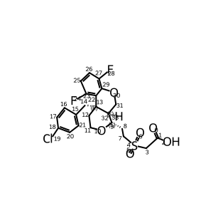 O=C(O)CS(=O)(=O)CC[C@@H]1OCC[C@@]2(Cc3ccc(Cl)cc3)c3c(F)ccc(F)c3OC[C@@H]12